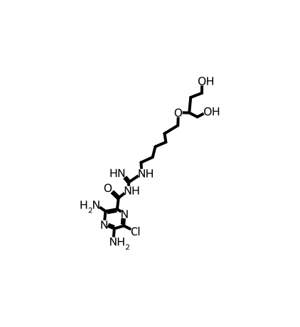 N=C(NCCCCCCOC(CO)CCO)NC(=O)c1nc(Cl)c(N)nc1N